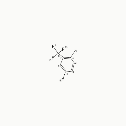 [CH]c1ccc(F)cc1C(F)(F)F